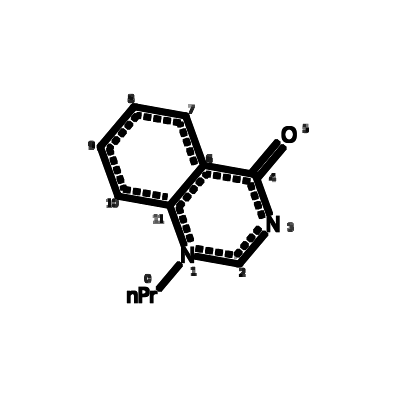 CCCn1cnc(=O)c2ccccc21